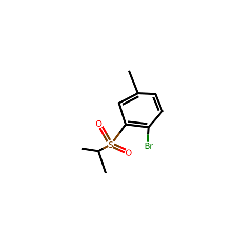 Cc1ccc(Br)c(S(=O)(=O)C(C)C)c1